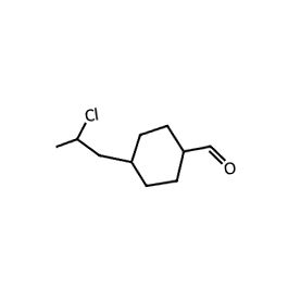 CC(Cl)CC1CCC(C=O)CC1